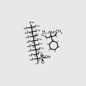 CCC(N)(CC)C1CCCCC1.O=S(=O)(O)C(F)(F)C(F)(F)C(F)(F)C(F)(F)C(F)(F)C(F)(F)C(F)(F)C(F)(F)F